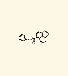 O=C(OCc1ccccc1)c1ccc2c(c1/C=C\I)CCC=C2